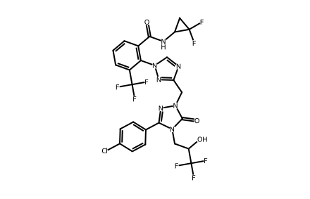 O=C(NC1CC1(F)F)c1cccc(C(F)(F)F)c1-n1cnc(Cn2nc(-c3ccc(Cl)cc3)n(CC(O)C(F)(F)F)c2=O)n1